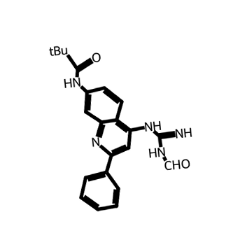 CC(C)(C)C(=O)Nc1ccc2c(NC(=N)NC=O)cc(-c3ccccc3)nc2c1